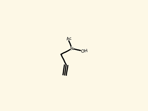 C#CCN(O)C(C)=O